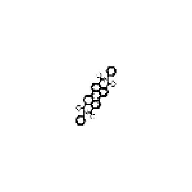 O=C1c2ccc3c4c2C(CC=c4c2ccc4c5c(ccc3c52)C(=O)N(c2ccccc2)C4=O)C(=O)N1c1ccccc1